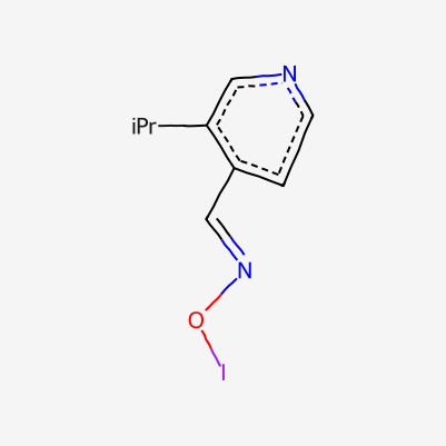 CC(C)c1cnccc1/C=N/OI